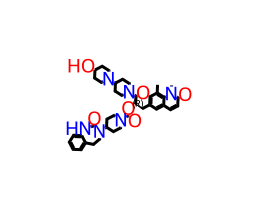 Cc1cc(C[C@@H](OC(=O)N2CCC(N3CCc4ccccc4NC3=O)CC2)C(=O)N2CCC(N3CCC(O)CC3)CC2)cc2ccc(=O)n(C)c12